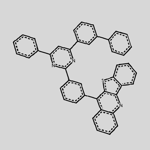 c1ccc(-c2cccc(-c3cc(-c4ccccc4)nc(-c4cccc(-c5c6ccccc6nc6c5sc5ccccc56)c4)n3)c2)cc1